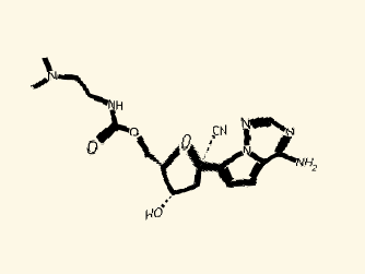 CN(C)CCNC(=O)OC[C@H]1O[C@@](C#N)(c2ccc3c(N)ncnn23)C[C@@H]1O